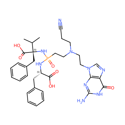 CC(C)[C@](Cc1ccccc1)(NP(=O)(CCN(CCC#N)CCn1cnc2c(=O)[nH]c(N)nc21)N[C@@H](Cc1ccccc1)C(=O)O)C(=O)O